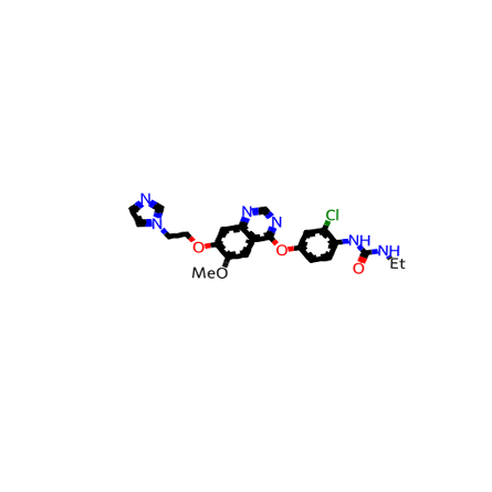 CCNC(=O)Nc1ccc(Oc2ncnc3cc(OCCn4ccnc4)c(OC)cc23)cc1Cl